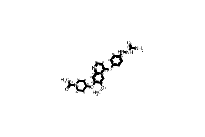 COc1cc2c(Oc3ccc(NNC(N)=O)cc3)ccnc2cc1OC1CCN(C(C)=O)CC1